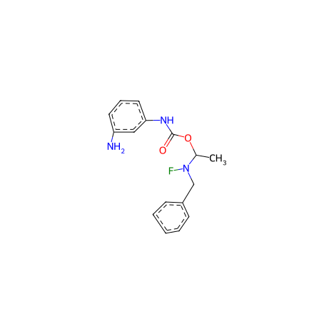 CC(OC(=O)Nc1cccc(N)c1)N(F)Cc1ccccc1